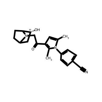 Cc1cc(C(=O)CN2C3CCC2[C@H](O)C3)c(C)n1-c1ccc(C#N)cc1